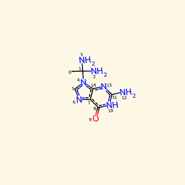 CC(N)(N)n1cnc2c(=O)[nH]c(N)nc21